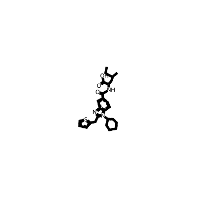 CCC(C)CC(NC(=O)c1ccc2c(c1)nc(Cc1cccs1)n2C1CCCCC1)C(=O)O